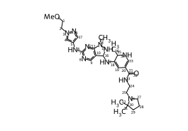 COCCn1cc(Nc2ncc3c(n2)N(C)NC3NC2=CC(C(=O)NCCN3CCCC3(C)C)=CNC2C)cn1